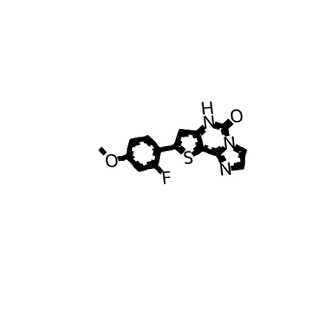 COc1ccc(-c2cc3[nH]c(=O)n4ccnc4c3s2)c(F)c1